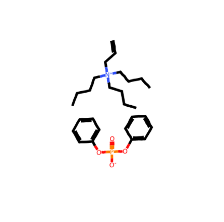 C=CC[N+](CCCC)(CCCC)CCCC.O=P([O-])(Oc1ccccc1)Oc1ccccc1